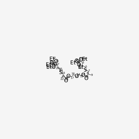 CCO[Si](CCCSCC(C)C(=O)OCCOCCOC(=O)C(C)CSCCC[Si](OCC)(OCC)OCC)(OCC)OCC